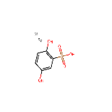 O=S(=O)(O)c1cc(O)ccc1O.[Fe].[Ni]